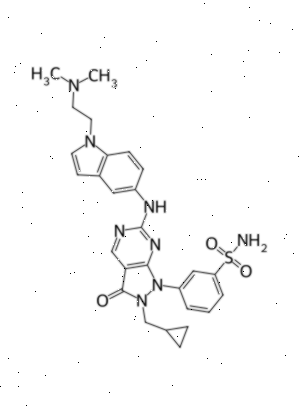 CN(C)CCn1ccc2cc(Nc3ncc4c(=O)n(CC5CC5)n(-c5cccc(S(N)(=O)=O)c5)c4n3)ccc21